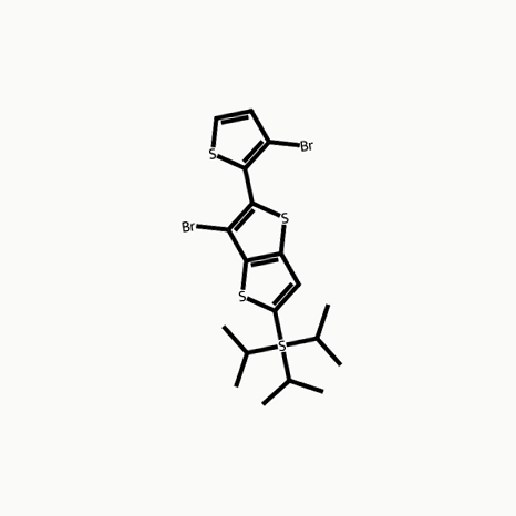 CC(C)S(c1cc2sc(-c3sccc3Br)c(Br)c2s1)(C(C)C)C(C)C